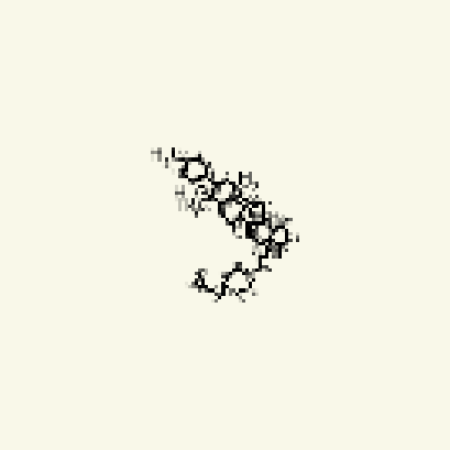 Cc1ccc(C2=CC[C@@]3(C)C(CC[C@]4(C)C3CC[C@@H]3C5CCC[C@]5(NCCN5CCN(SC6CC6)CC5)CC[C@]34C)C2(C)C)cc1